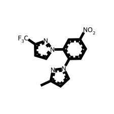 Cc1ccn(-c2ccc([N+](=O)[O-])cc2-n2ccc(C(F)(F)F)n2)n1